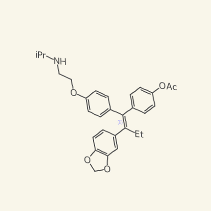 CC/C(=C(/c1ccc(OCCNC(C)C)cc1)c1ccc(OC(C)=O)cc1)c1ccc2c(c1)OCO2